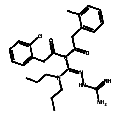 CCCN(CCC)C(=NNC(=N)N)N(C(=O)Cc1ccccc1C)C(=O)Cc1ccccc1Cl